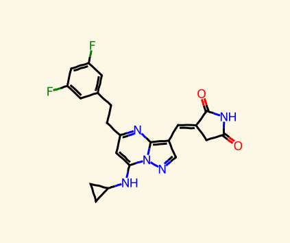 O=C1C/C(=C\c2cnn3c(NC4CC4)cc(CCc4cc(F)cc(F)c4)nc23)C(=O)N1